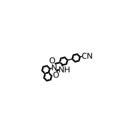 N#Cc1ccc(-c2ccc3c(=O)n(-c4cccc5ccccc45)c(=O)[nH]c3c2)cc1